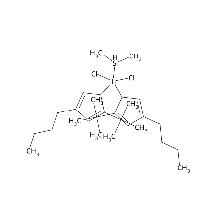 CCCCC1=C[CH]([Ti]([Cl])([Cl])([CH]2C=C(CCCC)C=C2C(C)(C)C)[SiH](C)C)C(C(C)(C)C)=C1